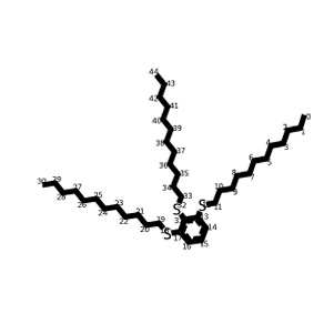 CCCCCCCCCCCCSc1c[c]cc(SCCCCCCCCCCCC)c1SCCCCCCCCCCCC